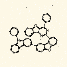 c1ccc(-c2nc(-c3cccc4oc5ccc(-c6ccc7c(c6)c6ccccc6n7-c6ccccc6)cc5c34)nc3c2oc2ccccc23)cc1